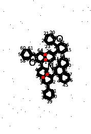 C1=C=C(c2ccccc2N(C2=CC(c3cccc4oc5ccccc5c34)=CCC2)c2c(-c3cccc(-c4ccccc4)c3)c3ccccc3c3ccccc23)c2oc3ccccc3c2C=1